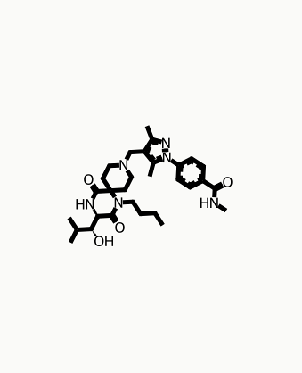 CCCCN1C(=O)[C@@H]([C@H](O)C(C)C)NC(=O)C12CCN(Cc1c(C)nn(-c3ccc(C(=O)NC)cc3)c1C)CC2